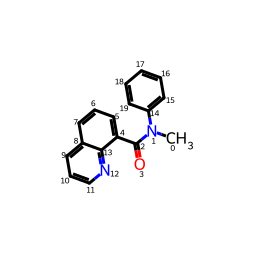 CN(C(=O)c1cccc2cccnc12)c1ccccc1